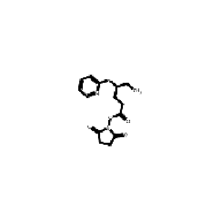 CCC(CCC(=O)ON1C(=O)CCC1=O)Sc1ccccn1